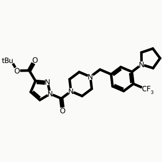 CC(C)(C)OC(=O)c1ccn(C(=O)N2CCN(Cc3ccc(C(F)(F)F)c(N4CCCC4)c3)CC2)n1